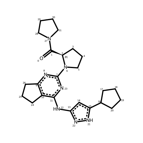 O=C([C@H]1CCCN1c1nc2c(c(Nc3cc(C4CCCC4)[nH]n3)n1)CCC2)N1CCCC1